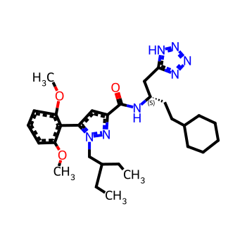 CCC(CC)Cn1nc(C(=O)N[C@@H](CCC2CCCCC2)Cc2nnn[nH]2)cc1-c1c(OC)cccc1OC